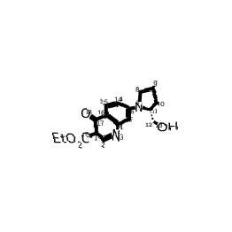 CCOC(=O)C1C=Nc2cc(N3CCC[C@@H]3CO)ccc2C1=O